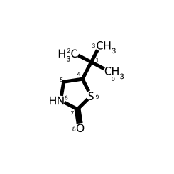 CC(C)(C)C1CNC(=O)S1